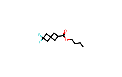 CCCCOC(=O)C1CC2(C1)CC(F)(F)C2